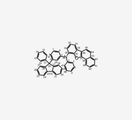 c1ccc(N(c2cccc(C3(c4ccccc4)c4ccccc4-c4ccccc43)c2)c2cccc3c2oc2c4ccccc4ccc32)cc1